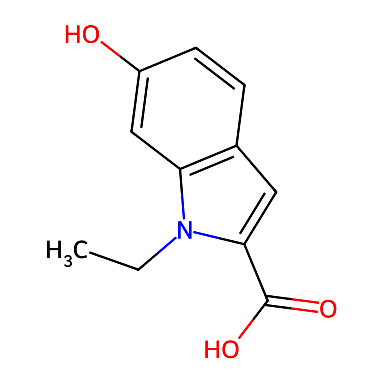 CCn1c(C(=O)O)cc2ccc(O)cc21